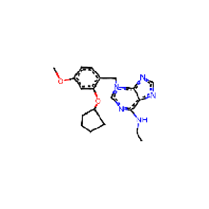 CCNc1ncn(Cc2ccc(OC)cc2OC2CCCC2)c2ncnc1-2